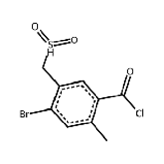 Cc1cc(Br)c(C[SH](=O)=O)cc1C(=O)Cl